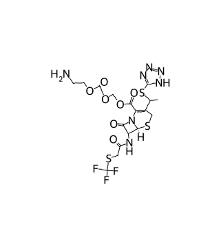 CC(Sc1nnn[nH]1)C1=C(C(=O)OCOC(=O)OCCN)N2C(=O)C(NC(=O)CSC(F)(F)F)[C@@H]2SC1